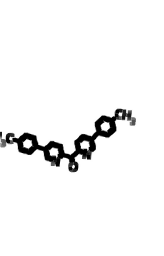 Cc1ccc(-c2ccc(C(=O)c3ccc(-c4ccc(C)cc4)cn3)nc2)cc1